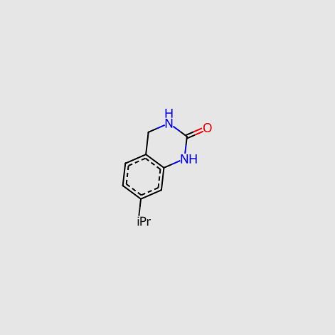 CC(C)c1ccc2c(c1)NC(=O)NC2